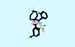 CS(=O)(=O)c1ccc(C(F)(F)F)cc1C(=O)NC(c1ccccc1Cl)C1(O)CCC(F)(F)CC1